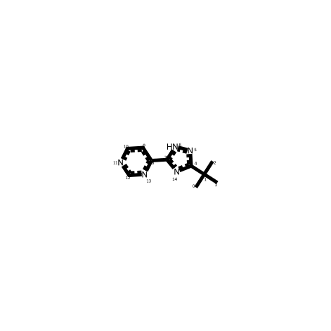 CC(C)(C)c1n[nH]c(-c2ccncn2)n1